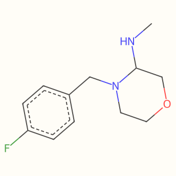 CNC1COCCN1Cc1ccc(F)cc1